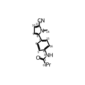 CC(C)C(=O)Nc1ccc(-c2ccc(C#N)n2C)cc1